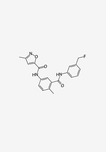 Cc1cc(C(=O)Nc2ccc(C)c(C(=O)Nc3cccc(CF)c3)c2)on1